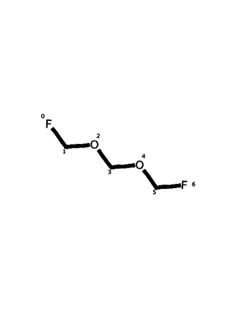 FCOCOCF